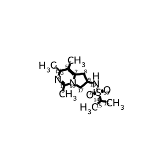 CC1=N[C@@H](C)C(C)=C2CC(NS(=O)(=O)C(C)C)CN12